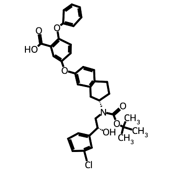 CC(C)(C)OC(=O)N(C[C@H](O)c1cccc(Cl)c1)[C@H]1CCc2ccc(Oc3ccc(Oc4ccccc4)c(C(=O)O)c3)cc2C1